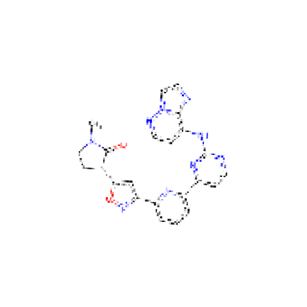 CN1CC[C@@H](c2cc(-c3cccc(-c4ccnc(Nc5ccnn6ccnc56)n4)n3)no2)C1=O